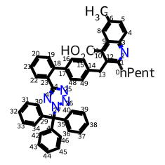 CCCCCc1nc2ccc(C)cc2c(C(=O)O)c1Cc1ccc(-c2ccccc2-c2nnn(C(c3ccccc3)(c3ccccc3)c3ccccc3)n2)cc1